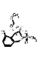 COCO[C@@H](c1c(F)cccc1Cl)[C@H](C)OS(N)(=O)=O